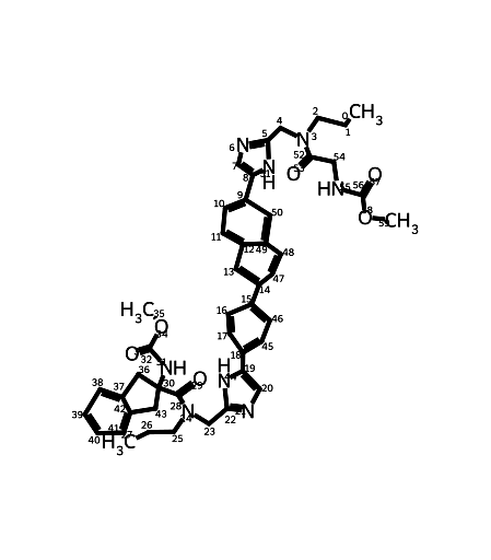 CCCN(Cc1ncc(-c2ccc3cc(-c4ccc(-c5cnc(CN(CCC)C(=O)C6(NC(=O)OC)Cc7ccccc7C6)[nH]5)cc4)ccc3c2)[nH]1)C(=O)CNC(=O)OC